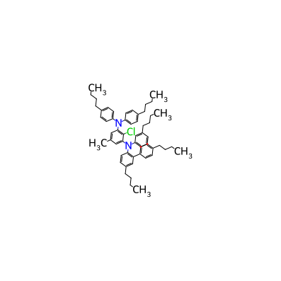 CCCCc1ccc(-c2cc(CCCC)ccc2N(c2cccc(CCCC)c2)c2cc(C)cc(N(c3ccc(CCCC)cc3)c3ccc(CCCC)cc3)c2Cl)cc1